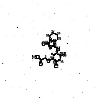 O=C(O)CSc1cc(N=c2sc(=O)n3n2CCCC3)c(F)cc1Cl